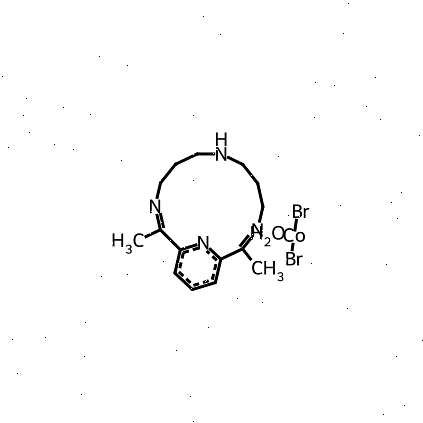 CC1=NCCCNCCCN=C(C)c2cccc1n2.O.[Br][Co][Br]